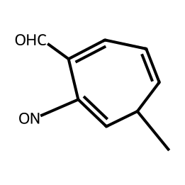 CC1C=CC=C(C=O)C(N=O)=C1